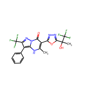 Cc1[nH]c2c(-c3ccccc3)c(C(F)(F)F)nn2c(=O)c1-c1nnc(C(C)(O)C(F)(F)F)o1